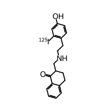 O=C1c2ccccc2CCC1CNCCc1ccc(O)cc1[125I]